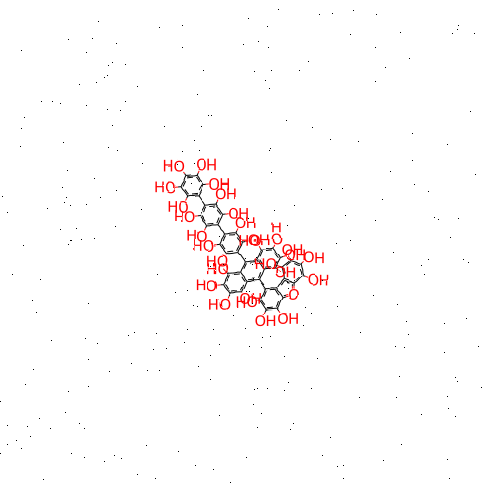 Oc1c(O)c(O)c(-c2c(O)c(O)c(-c3c(O)c(O)c(-c4c5c(O)c(O)c(O)c(O)c5c(-c5c(O)c(O)c(O)c6oc7c(O)c(O)c(O)c(O)c7c56)c5c(O)c(O)c(O)c(O)c45)c(O)c3O)c(O)c2O)c(O)c1O